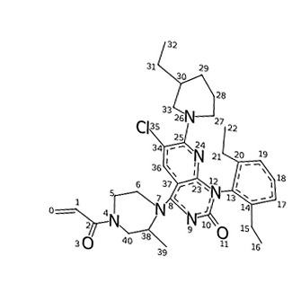 C=CC(=O)N1CCN(c2nc(=O)n(-c3c(CC)cccc3CC)c3nc(N4CCCC(CC)C4)c(Cl)cc23)C(C)C1